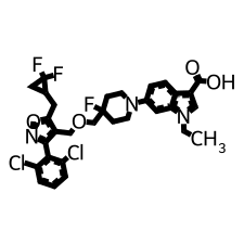 CCn1cc(C(=O)O)c2ccc(N3CCC(F)(COCc4c(-c5c(Cl)cccc5Cl)noc4CC4CC4(F)F)CC3)cc21